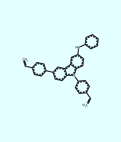 C=Cc1ccc(-c2ccc3c(c2)c2cc(Nc4ccccc4)ccc2n3-c2ccc(C=C)cc2)cc1